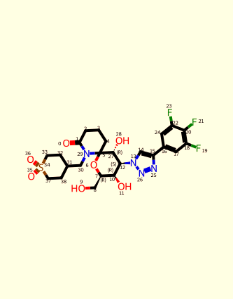 O=C1CCCC2(O[C@H](CO)[C@H](O)[C@H](n3cc(-c4cc(F)c(F)c(F)c4)nn3)[C@H]2O)N1CC1CCS(=O)(=O)CC1